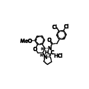 COc1cccc2c1OC[C@H](N1CCCC1)[C@H]2N(C)C(=O)Cc1ccc(Cl)c(Cl)c1.Cl